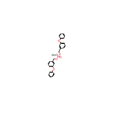 COP(=O)(OCc1cccc(Oc2ccccc2)c1)OCc1cccc(Oc2ccccc2)c1